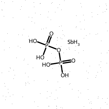 O=P(O)(O)OP(=O)(O)O.[SbH3]